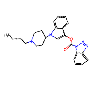 CCCCN1CCC(n2cc(OC(=O)n3nnc4ccccc43)c3ccccc32)CC1